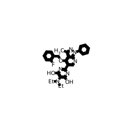 CCN(CC)c1c(O)nc(-c2cnc3c(c(C)nn3-c3ccccc3)c2OCc2ccccc2F)nc1O